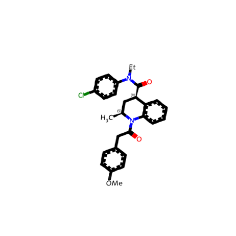 CCN(C(=O)[C@@H]1C[C@H](C)N(C(=O)Cc2ccc(OC)cc2)c2ccccc21)c1ccc(Cl)cc1